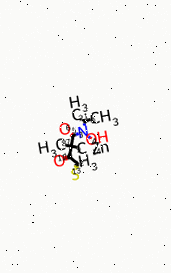 CC(C)N(O)C(=O)C(C)(C)C(=O)C=S.[Zn]